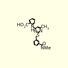 CNC(=O)c1cccc(CSc2nc(C)cc(Nc3ccccc3C(=O)O)n2)c1